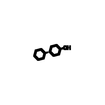 O[C@H]1CC[C@H](C2CCCCC2)CC1